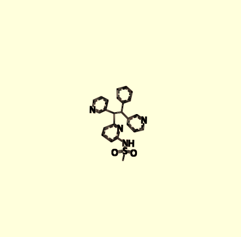 CS(=O)(=O)Nc1cccc(C(c2cccnc2)C(c2ccccc2)c2cccnc2)n1